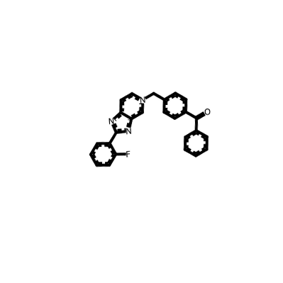 O=C(c1ccccc1)c1ccc(Cn2ccc3nc(-c4ccccc4F)nc-3c2)cc1